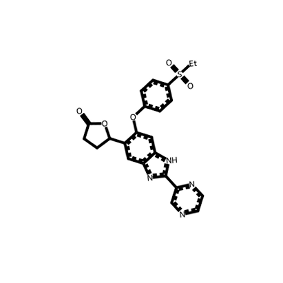 CCS(=O)(=O)c1ccc(Oc2cc3[nH]c(-c4cnccn4)nc3cc2C2CCC(=O)O2)cc1